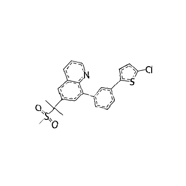 CC(C)(c1cc(-c2cccc(-c3ccc(Cl)s3)c2)c2ncccc2c1)S(C)(=O)=O